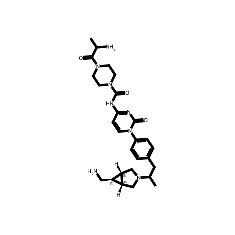 CC(N)C(=O)N1CCN(C(=O)Nc2ccn(-c3ccc(CC(C)N4C[C@@H]5[C@@H](CN)[C@@H]5C4)cc3)c(=O)n2)CC1